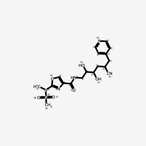 CN(c1nc(C(=O)NCC(O)C(O)CC(C#N)Cc2ccncc2)co1)S(C)(=O)=O